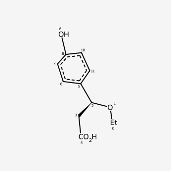 CCO[C@@H](CC(=O)O)c1ccc(O)cc1